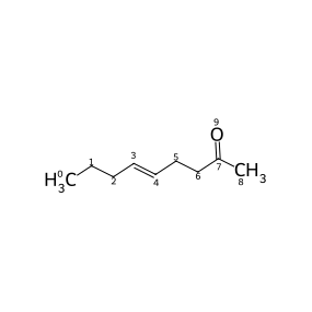 CCC/C=C/CCC(C)=O